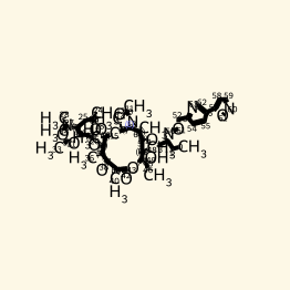 CCC(CO[C@@H]1[C@@H](C)/C(=N/C(C)=O)[C@H](C)C[C@@](C)(O)[C@H](O[C@@H]2O[C@H](C)C[C@H](N(C)C)[C@H]2OC(C)=O)[C@@H](C)C(=O)[C@@H](C)C(=O)O[C@H](CC)[C@@]1(C)O)=NOCc1ccc(-c2ccno2)cn1